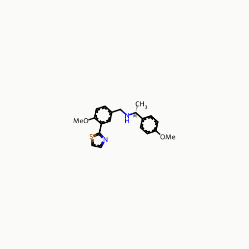 COc1ccc([C@@H](C)NCc2ccc(OC)c(-c3nccs3)c2)cc1